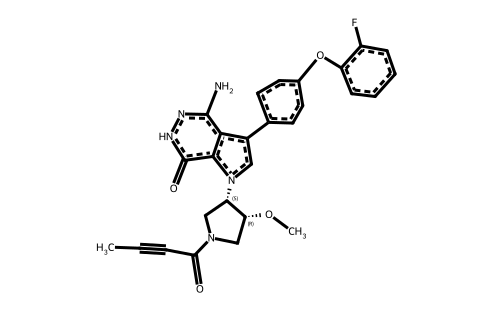 CC#CC(=O)N1C[C@@H](OC)[C@@H](n2cc(-c3ccc(Oc4ccccc4F)cc3)c3c(N)n[nH]c(=O)c32)C1